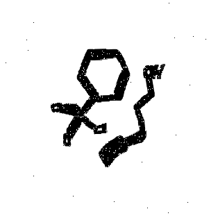 C#CCCCO.O=S(=O)(Cl)c1ccccc1